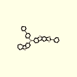 c1ccc(-c2ccc(N(c3ccc4c(c3)oc3cc5nc(-c6ccccc6)oc5cc34)c3ccc4sc5ccccc5c4c3)cc2)cc1